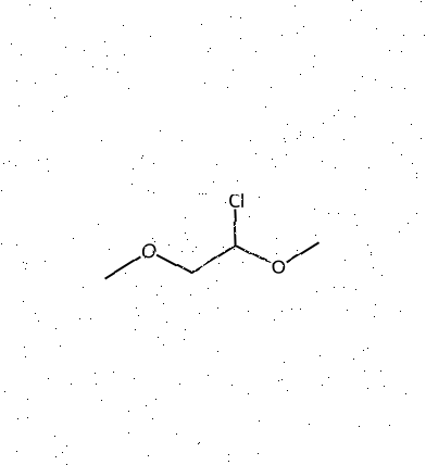 COCC(Cl)OC